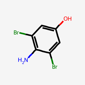 Nc1c(Br)cc(O)cc1Br